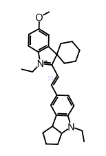 CCN1c2ccc(/C=C/C3=[N+](CC)c4ccc(OC)cc4C34CCCCC4)cc2C2CCCC21